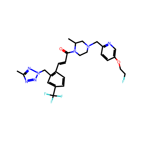 Cc1nnn(Cc2cc(C(F)(F)F)ccc2/C=C/C(=O)N2CCN(Cc3ccc(OCCF)cn3)CC2C)n1